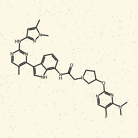 Cc1cnc(Nc2cc(C)n(C)n2)nc1-c1c[nH]c2c(NC(=O)CN3CCC(Oc4ncc(F)c(N(C)C)n4)C3)cccc12